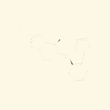 Cn1cc2c(n1)CC[C@@H]([C@@H]1c3ccccc3-c3cncn31)[C@@H]2O